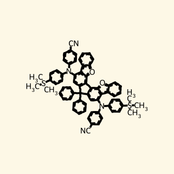 CS(C)(C)c1ccc(N(c2ccc(C#N)cc2)c2cc3c(c4oc5ccccc5c24)-c2c(cc(N(c4ccc(C#N)cc4)c4ccc(S(C)(C)C)cc4)c4c2oc2ccccc24)C3(c2ccccc2)c2ccccc2)cc1